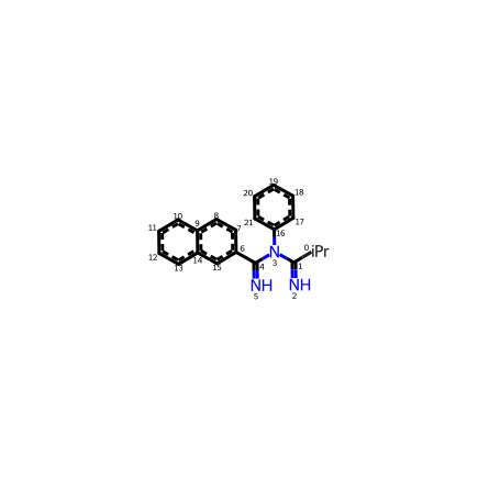 CC(C)C(=N)N(C(=N)c1ccc2ccccc2c1)c1ccccc1